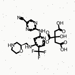 N#Cc1cnc(Nc2cc(NC[C@@H]3CNCCO3)c(C(F)(F)F)cn2)cn1.O=C(O)CC(O)(CC(=O)O)C(=O)O